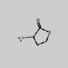 NC1CCSC1=O